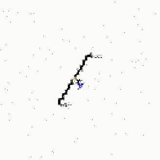 CCCCCCCC/C=C\CCCCCCCC[SH](CCCCCCCC/C=C\CCCCCCCC)C(C)CN(C)C